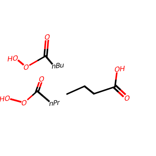 CCCC(=O)O.CCCC(=O)OO.CCCCC(=O)OO